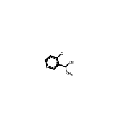 C[C@@H](O)c1cnccc1Cl